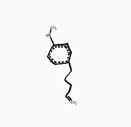 C=CCCCc1ccc(NC)cc1